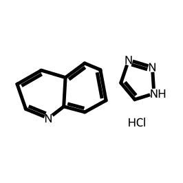 Cl.c1c[nH]nn1.c1ccc2ncccc2c1